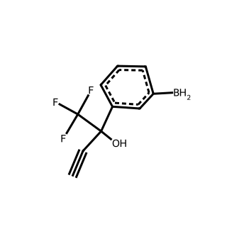 Bc1cccc(C(O)(C#C)C(F)(F)F)c1